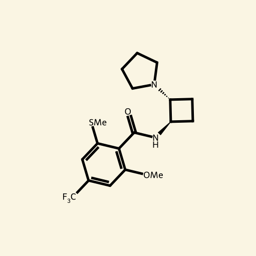 COc1cc(C(F)(F)F)cc(SC)c1C(=O)N[C@@H]1CC[C@H]1N1CCCC1